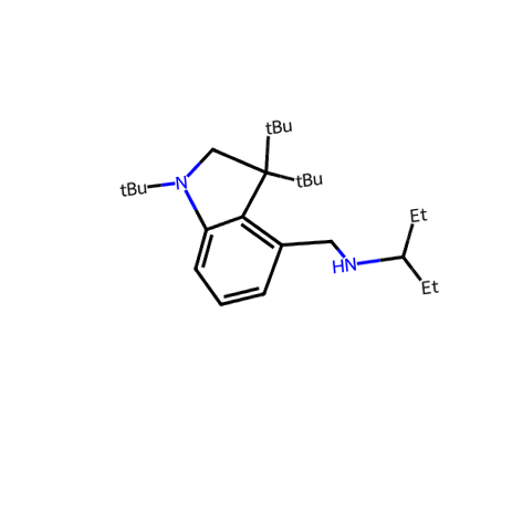 CCC(CC)NCc1cccc2c1C(C(C)(C)C)(C(C)(C)C)CN2C(C)(C)C